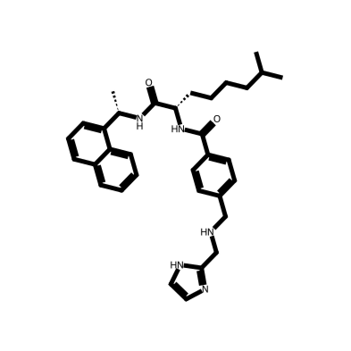 CC(C)CCCC[C@H](NC(=O)c1ccc(CNCc2ncc[nH]2)cc1)C(=O)N[C@@H](C)c1cccc2ccccc12